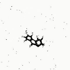 Fc1[c]c2c(c(F)c1F)-c1c(F)c(F)c(F)c(F)c1C2F